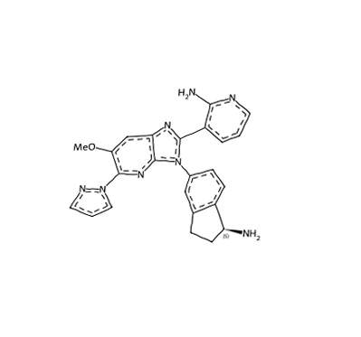 COc1cc2nc(-c3cccnc3N)n(-c3ccc4c(c3)CC[C@@H]4N)c2nc1-n1cccn1